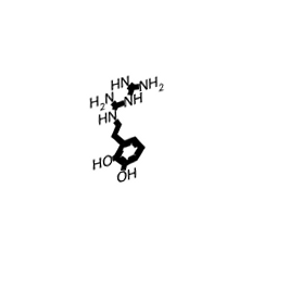 N=C(N)NC(N)NCCc1cccc(O)c1O